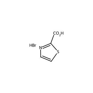 Br.O=C(O)c1nccs1